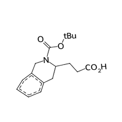 CC(C)(C)OC(=O)N1Cc2ccccc2CC1CCC(=O)O